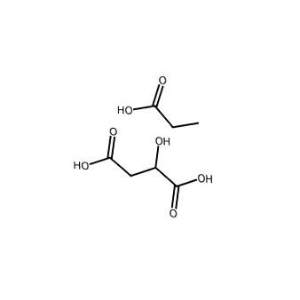 CCC(=O)O.O=C(O)CC(O)C(=O)O